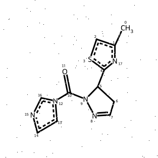 Cc1csc(C2CC=NN2C(=O)n2ccnc2)n1